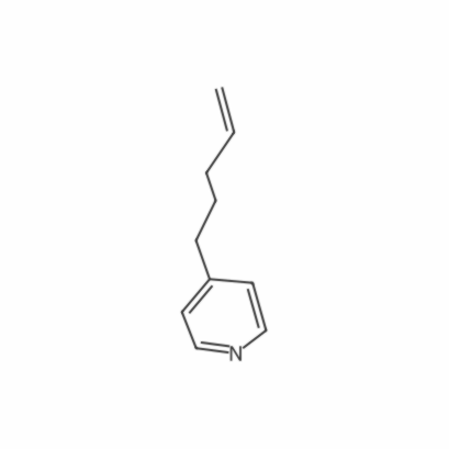 C=CCCCc1ccncc1